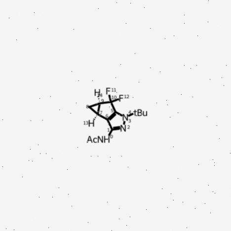 CC(=O)Nc1nn(C(C)(C)C)c2c1[C@H]1C[C@H]1C2(F)F